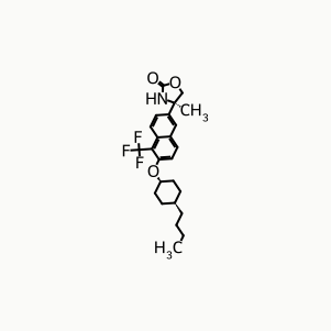 CCCC[C@H]1CC[C@@H](Oc2ccc3cc([C@]4(C)COC(=O)N4)ccc3c2C(F)(F)F)CC1